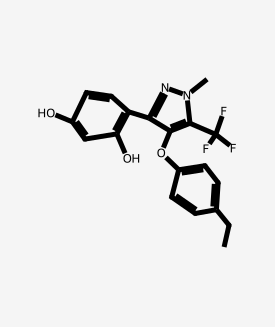 CCc1ccc(Oc2c(-c3ccc(O)cc3O)nn(C)c2C(F)(F)F)cc1